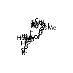 COc1cc(N2CCC(CN3CCC(C(=O)NC(C(=O)N4C[C@H](O)C[C@H]4C(=O)NCc4ccc(-c5scnc5C)cc4)C(C)(C)C)CC3)CC2)ccc1Nc1ncc(Cl)c(Nc2ccccc2N(C)S(C)(=O)=O)n1